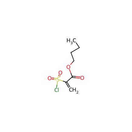 C=C(C(=O)OCCCC)S(=O)(=O)Cl